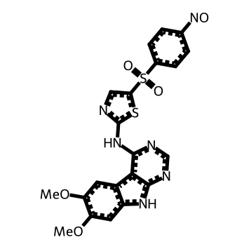 COc1cc2[nH]c3ncnc(Nc4ncc(S(=O)(=O)c5ccc(N=O)cc5)s4)c3c2cc1OC